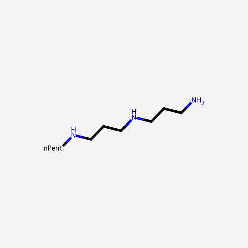 [CH2]CCCCNCCCNCCCN